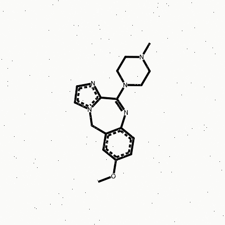 COc1ccc2c(c1)Cn1ccnc1C(N1CCN(C)CC1)=N2